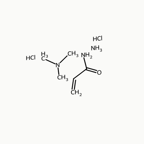 C=CC(N)=O.CN(C)C.Cl.Cl.N